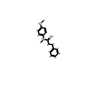 COc1ccc(N(C)C(=O)CCc2ccccc2)cc1